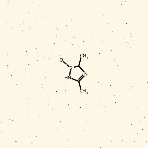 CC1=NC(C)[S+]([O-])N1